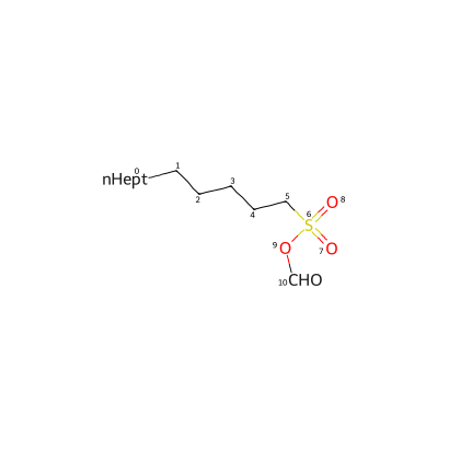 CCCCCCCCCCCCS(=O)(=O)OC=O